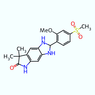 COc1cc(S(C)(=O)=O)ccc1C1Nc2cc3c(cc2N1)C(C)(C)C(=O)N3